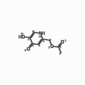 CC(=O)OCc1cc(=O)c(O)c[nH]1